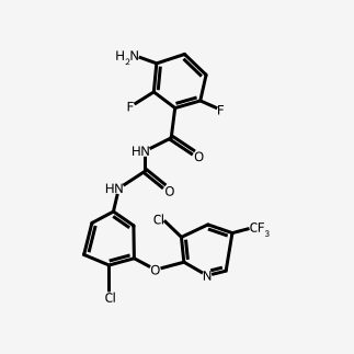 Nc1ccc(F)c(C(=O)NC(=O)Nc2ccc(Cl)c(Oc3ncc(C(F)(F)F)cc3Cl)c2)c1F